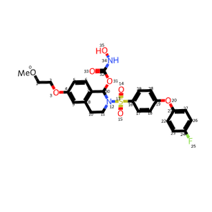 COCCOc1ccc2c(c1)CCN(S(=O)(=O)c1ccc(Oc3ccc(F)cc3)cc1)C2OC(=O)NO